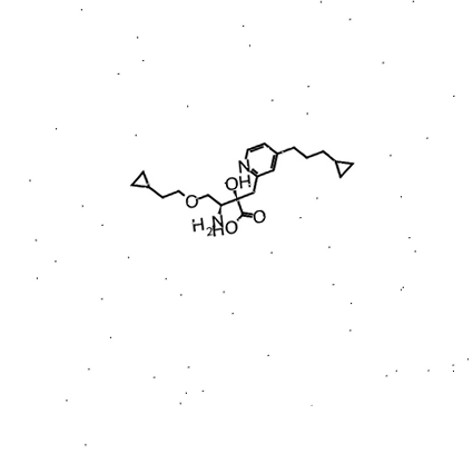 N[C@@H](COCCC1CC1)[C@](O)(Cc1cc(CCCC2CC2)ccn1)C(=O)O